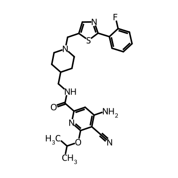 CC(C)Oc1nc(C(=O)NCC2CCN(Cc3cnc(-c4ccccc4F)s3)CC2)cc(N)c1C#N